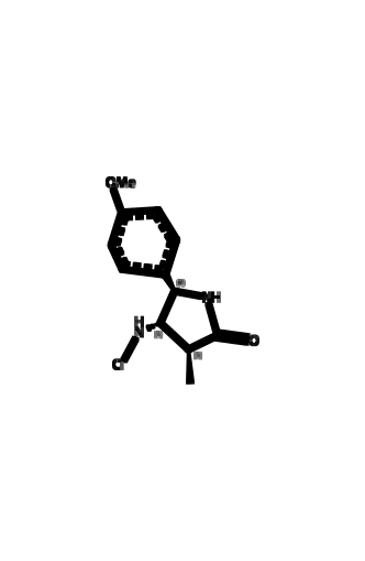 COc1ccc([C@H]2NC(=O)[C@@H](C)[C@@H]2NCl)cc1